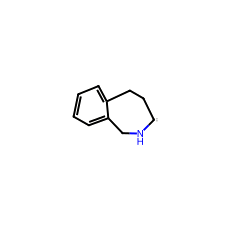 [C]1CCc2ccccc2CN1